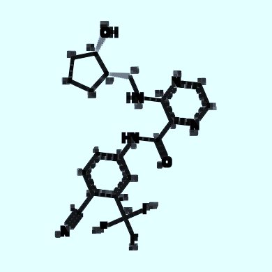 N#Cc1ccc(NC(=O)c2nccnc2NC[C@@H]2CCC[C@@H]2O)cc1C(F)(F)F